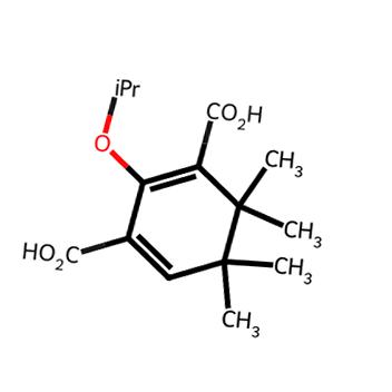 CC(C)OC1=C(C(=O)O)C(C)(C)C(C)(C)C=C1C(=O)O